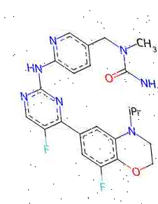 CC(C)N1CCOc2c(F)cc(-c3nc(Nc4ccc(CN(C)C(N)=O)cn4)ncc3F)cc21